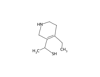 CCC1=C(C(C)S)CNCC1